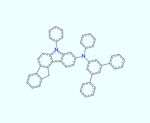 c1ccc(-c2cc(-c3ccccc3)cc(N(c3ccccc3)c3ccc4c5c6c(ccc5n(-c5ccccc5)c4c3)-c3ccccc3C6)c2)cc1